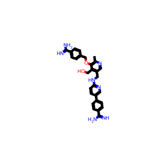 Cc1ncc(CNc2ccc(-c3ccc(C(=N)N)cc3)cn2)c(CO)c1OCc1ccc(C(=N)N)cc1